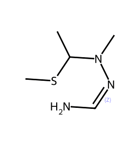 CSC(C)N(C)/N=C\N